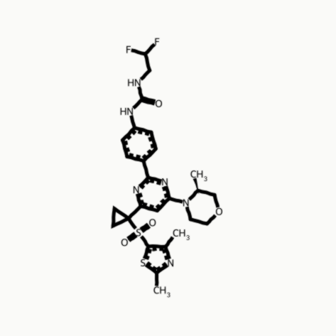 Cc1nc(C)c(S(=O)(=O)C2(c3cc(N4CCOC[C@@H]4C)nc(-c4ccc(NC(=O)NCC(F)F)cc4)n3)CC2)s1